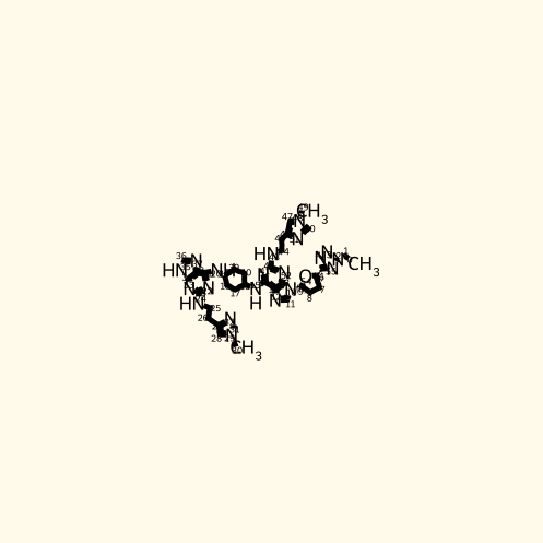 CCn1nnc([C@@H]2CC[C@H](n3cnc4c(NC5CCC(Nc6nc(NCCc7cn(C)cn7)nc7[nH]cnc67)CC5)nc(NCCc5cn(C)cn5)nc43)O2)n1